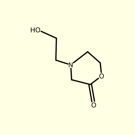 O=C1CN(CCO)CCO1